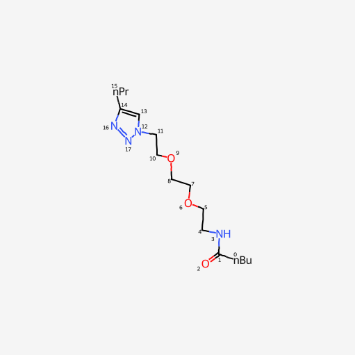 CCCCC(=O)NCCOCCOCCn1cc(CCC)nn1